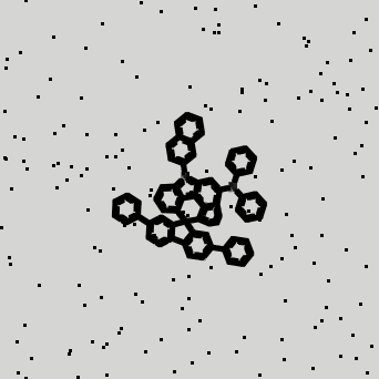 c1ccc(-c2ccc3c(c2)C2(c4cc(-c5ccccc5)ccc4-3)c3cccc4c(N(c5ccccc5)c5ccccc5)cc5c(c34)c3c2cccc3n5-c2ccc3ccccc3c2)cc1